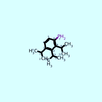 CC(C)c1ccc(P)c(C(C)C)c1C(C)C